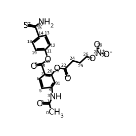 CC(=O)Nc1ccc(C(=O)Oc2ccc(C(N)=S)cc2)c(OC(=O)CCCO[N+](=O)[O-])c1